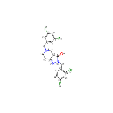 O=C1C2CN(Cc3cc(F)cc(F)c3)CCC2=NN1Cc1ccc(F)cc1Br